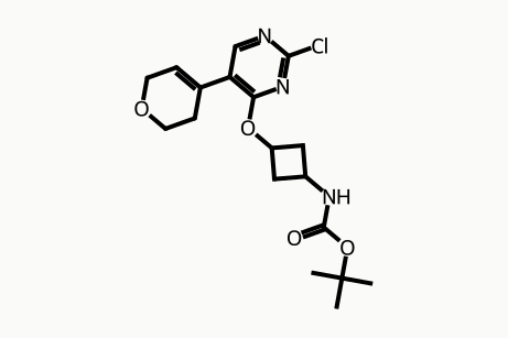 CC(C)(C)OC(=O)NC1CC(Oc2nc(Cl)ncc2C2=CCOCC2)C1